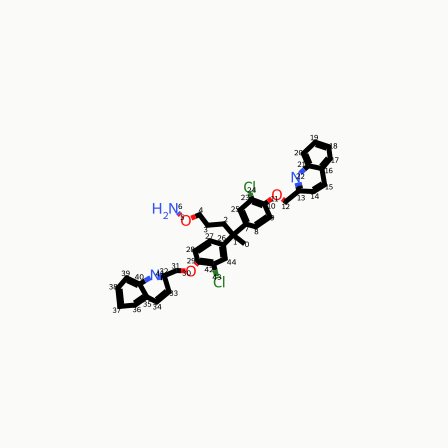 CC(CCCON)(c1ccc(OCc2ccc3ccccc3n2)c(Cl)c1)c1ccc(OCc2ccc3ccccc3n2)c(Cl)c1